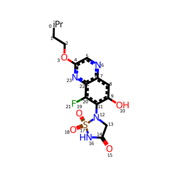 CC(C)CCOc1cnc2cc(O)c(N3CC(=O)NS3(=O)=O)c(F)c2n1